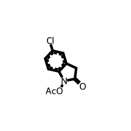 CC(=O)ON1C(=O)Cc2cc(Cl)ccc21